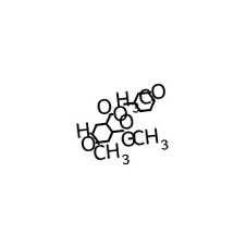 COC(=O)C1CC2(C)O[C@@H]2CC1C(=O)OCC1CCC2(C)OC2C1